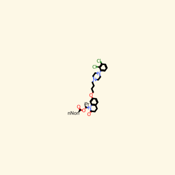 CCCCCCCCCC(=O)OC(C(C)C)N1C(=O)CCc2ccc(OCCCCN3CCN(c4cccc(Cl)c4Cl)CC3)cc21